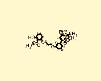 COC(=O)c1c(O)cccc1OCCCOc1cccc(C2=CC(=O)N(C(C)(C)C)S2(=O)=O)c1